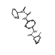 CN(C(=S)Nc1ccc(NC(=O)c2ccccc2F)cc1)c1cccnc1